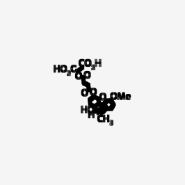 COc1ccc2c3c1OC1C(OC(=O)/C=C/C(=O)O[C@@H](CC(=O)O)C(=O)O)=CC[C@@]4(O)[C@@H](C2)N(C)CCC314